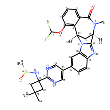 CN1C(=O)c2cccc(OC(F)F)c2[C@H]2C[C@@H]1c1nc3ccc(-c4cnc(C5(N[S@+]([O-])C(C)(C)C)CC(C)(C#N)C5)nc4)cc3n12